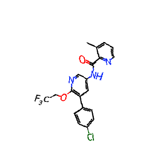 Cc1cccnc1C(=O)Nc1cnc(OCC(F)(F)F)c(-c2ccc(Cl)cc2)c1